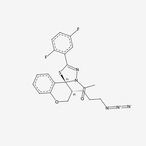 CC(=O)N1N=C(c2cc(F)ccc2F)S[C@@]12c1ccccc1OC[C@H]2CCCN=[N+]=[N-]